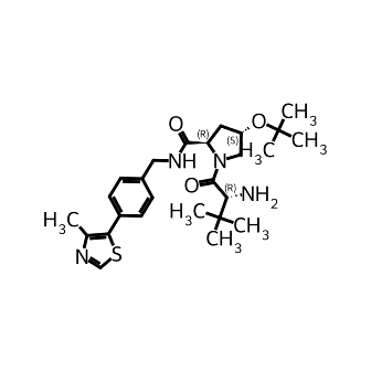 Cc1ncsc1-c1ccc(CNC(=O)[C@H]2C[C@H](OC(C)(C)C)CN2C(=O)[C@H](N)C(C)(C)C)cc1